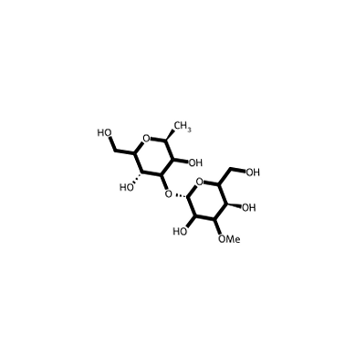 COC1C(O)[C@H](OC2C(O)[C@H](C)OC(CO)[C@H]2O)OC(CO)[C@H]1O